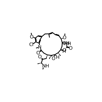 CN[C@@H](C)C(=O)C[C@H]1CC(=O)N(C)c2cc(cc(OC)c2Cl)C/C(C)=C/C=C/[C@@H](OC)[C@@]2(O)C[C@H](OC(=O)N2)[C@@H](C)[C@@H]2O[C@]12C